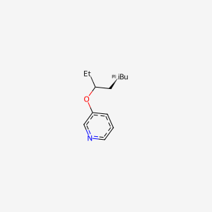 CCC(C[C@H](C)CC)Oc1cccnc1